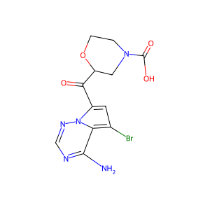 Nc1ncnn2c(C(=O)C3CN(C(=O)O)CCO3)cc(Br)c12